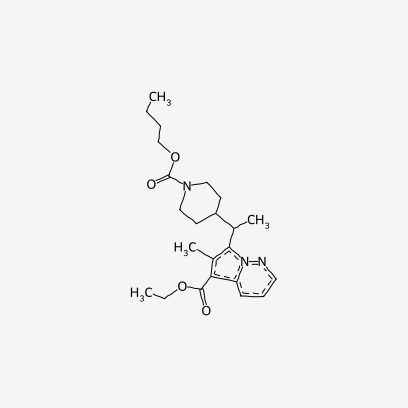 CCCCOC(=O)N1CCC(C(C)c2c(C)c(C(=O)OCC)c3cccnn23)CC1